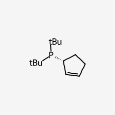 CC(C)(C)P([C@H]1C=CCC1)C(C)(C)C